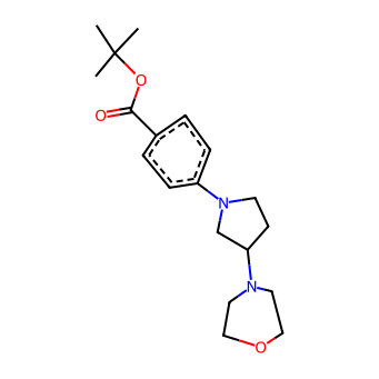 CC(C)(C)OC(=O)c1ccc(N2CCC(N3CCOCC3)C2)cc1